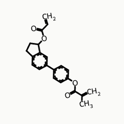 C=CC(=O)OC1CCc2ccc(-c3ccc(OC(=O)C(=C)C)cc3)cc21